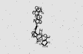 CC(OC(=O)Nc1c(C2CC2)noc1C#Cc1nc2nc(C3(C(=O)O)CC3)oc2o1)c1ccccc1